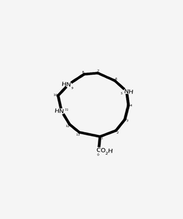 O=C(O)C1CCCNCCCNCNCC1